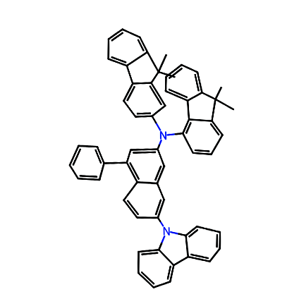 CC1(C)c2ccccc2-c2ccc(N(c3cc(-c4ccccc4)c4ccc(-n5c6ccccc6c6ccccc65)cc4c3)c3cccc4c3-c3ccccc3C4(C)C)cc21